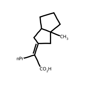 CCCC(C(=O)O)=C1CC2CCCC2(C)C1